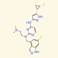 CN(C)CCN(Cc1cc(F)cc2[nH]ncc12)c1nccc(Nc2cc([C@@H]3C[C@@H]3F)[nH]n2)n1